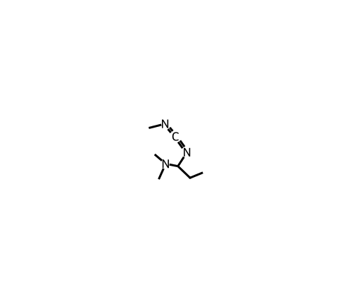 CCC(N=C=NC)N(C)C